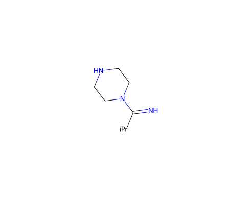 CC(C)C(=N)N1CCNCC1